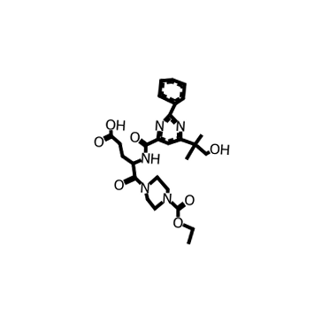 CCOC(=O)N1CCN(C(=O)C(CCC(=O)O)NC(=O)c2cc(C(C)(C)CO)nc(-c3ccccc3)n2)CC1